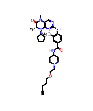 C#CCCCOCCN1CCC(NC(=O)c2ccc(Nc3ncc4c(n3)N(C3CCCC3)[C@H](CC)C(=O)N4C)c(OC)c2)CC1